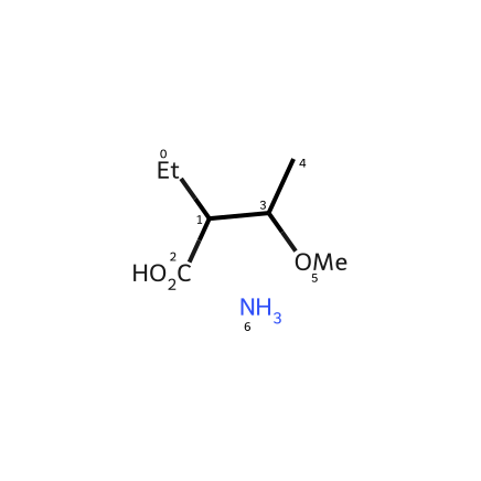 CCC(C(=O)O)C(C)OC.N